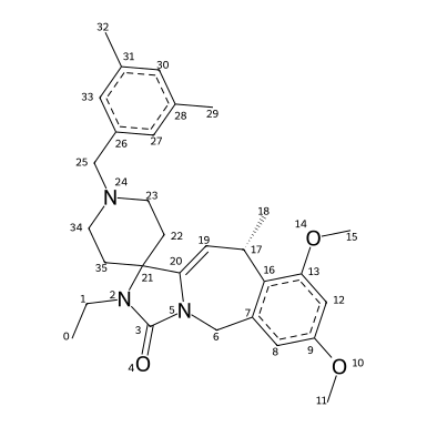 CCN1C(=O)N2Cc3cc(OC)cc(OC)c3[C@@H](C)C=C2C12CCN(Cc1cc(C)cc(C)c1)CC2